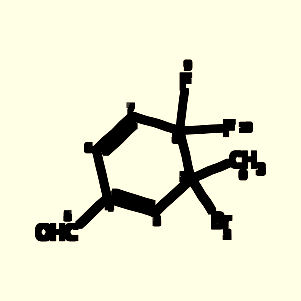 CC1(Br)C=C(C=O)C=CC1(F)F